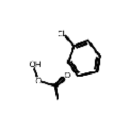 CC(=O)OO.Clc1ccccc1